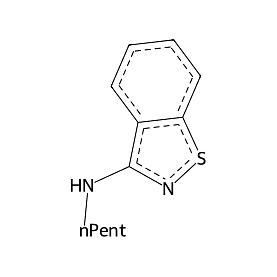 CCCCCNc1nsc2ccccc12